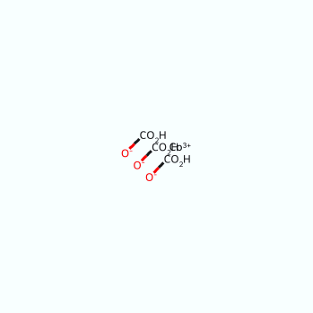 O=C([O-])O.O=C([O-])O.O=C([O-])O.[Co+3]